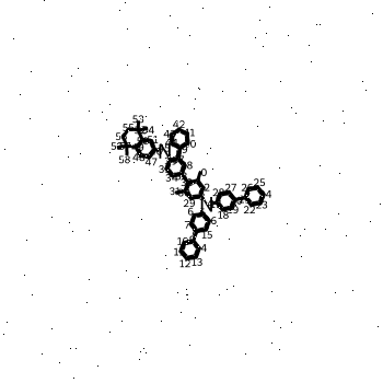 Cc1cc(N(c2ccc(-c3ccccc3)cc2)c2ccc(-c3ccccc3)cc2)cc(C)c1-c1ccc2c(c1)c1ccccc1n2-c1ccc2c(c1)C(C)(C)CCC2(C)C